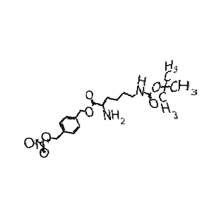 CC(C)(C)OC(=O)NCCCCC(N)C(=O)OCc1ccc(CO[N+](=O)[O-])cc1